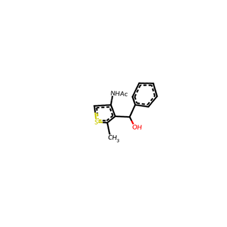 CC(=O)Nc1csc(C)c1C(O)c1ccccc1